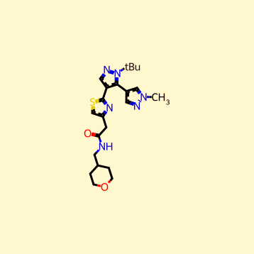 Cn1cc(-c2c(-c3nc(CC(=O)NCC4CCOCC4)cs3)cnn2C(C)(C)C)cn1